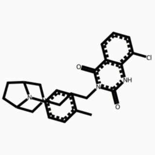 Cc1ccc(N2C3CCC2CN(CCCn2c(=O)[nH]c4c(Cl)cccc4c2=O)C3)cc1